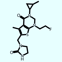 Cc1c(CN2CCNC2=O)sc2c1C(=O)N(C1CC1C)CN2CCF